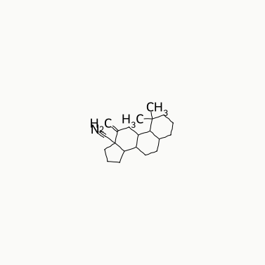 C=C1CC2C(CCC3CCCC(C)(C)C32)C2CCCC12C#N